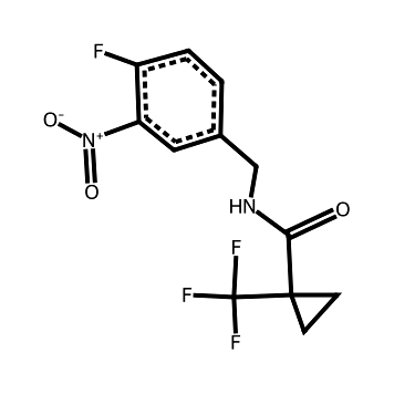 O=C(NCc1ccc(F)c([N+](=O)[O-])c1)C1(C(F)(F)F)CC1